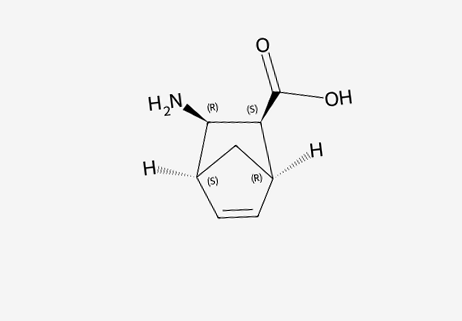 N[C@H]1[C@@H](C(=O)O)[C@H]2C=C[C@@H]1C2